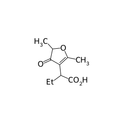 CCC(C(=O)O)C1=C(C)OC(C)C1=O